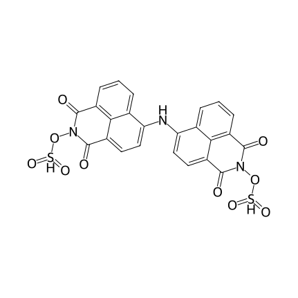 O=C1c2cccc3c(Nc4ccc5c6c(cccc46)C(=O)N(O[SH](=O)=O)C5=O)ccc(c23)C(=O)N1O[SH](=O)=O